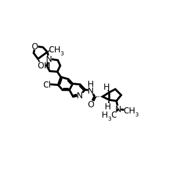 CN(C)C1CC[C@H]2[C@@H](C(=O)Nc3cc4cc(C5CCN([C@]6(C)COC[C@@H]6O)CC5)c(Cl)cc4cn3)[C@@H]12